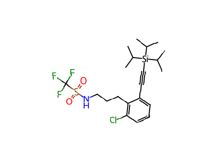 CC(C)[Si](C#Cc1cccc(Cl)c1CCCNS(=O)(=O)C(F)(F)F)(C(C)C)C(C)C